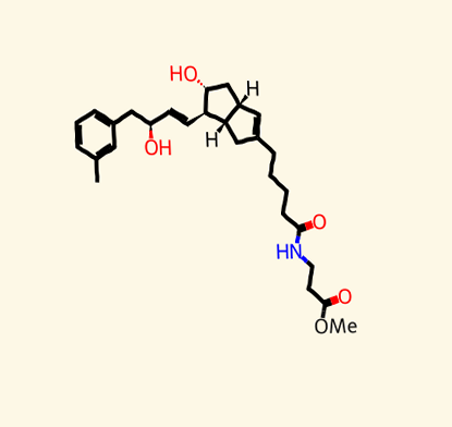 COC(=O)CCNC(=O)CCCCC1=C[C@H]2C[C@@H](O)[C@H](/C=C/[C@@H](O)Cc3cccc(C)c3)[C@H]2C1